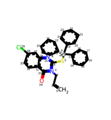 C=CCn1c([S][Sn]([c]2ccccc2)([c]2ccccc2)[c]2ccccc2)nc2cc(Cl)ccc2c1=O